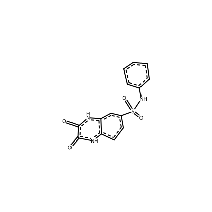 O=c1[nH]c2ccc(S(=O)(=O)Nc3ccccc3)cc2[nH]c1=O